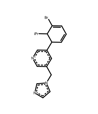 CC(C)C1C(Br)=CC=CC1c1cncc(Cn2ccnc2)c1